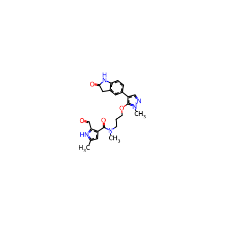 Cc1cc(C(=O)N(C)CCCOc2c(-c3ccc4c(c3)CC(=O)N4)cnn2C)c(C=O)[nH]1